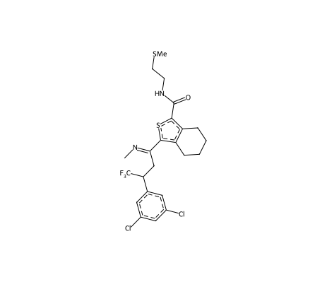 C/N=C(\CC(c1cc(Cl)cc(Cl)c1)C(F)(F)F)c1sc(C(=O)NCCSC)c2c1CCCC2